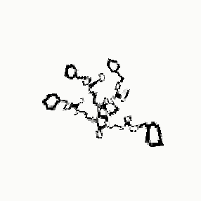 O=C(OCC1CC=CCC1)SCCN1C(=O)N(CCSC(=O)OCC2CC=CCC2)C2C1N(CCSC(=O)OCC1CC=CCC1)C(=O)N2CCSC(=O)OCC1CC=CCC1